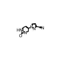 N#Cc1ccn(C2=CC3CN(C2)C(=O)N3)n1